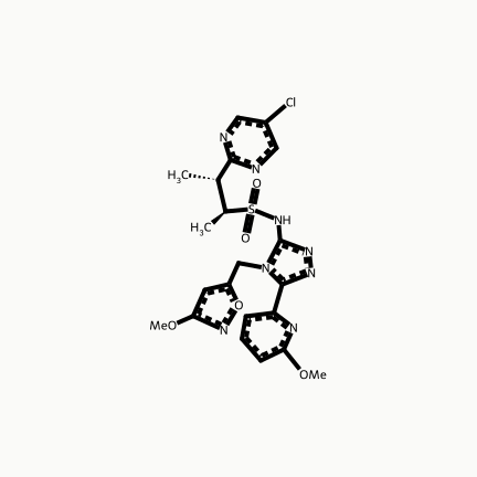 COc1cc(Cn2c(NS(=O)(=O)[C@@H](C)[C@H](C)c3ncc(Cl)cn3)nnc2-c2cccc(OC)n2)on1